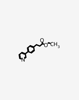 CCOC(=O)CCc1ccc(-c2cccnc2)cc1